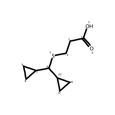 O=C(O)CCSC(C1CC1)C1CC1